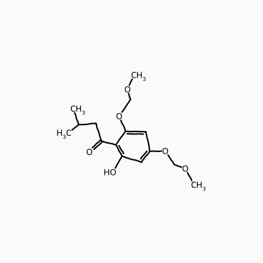 COCOc1cc(O)c(C(=O)CC(C)C)c(OCOC)c1